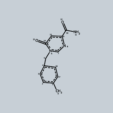 Cc1ccc(Cn2cnc(C(N)=O)cc2=O)cc1